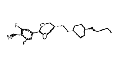 CCCC[C@H]1CC[C@H](CC[C@H]2CO[C@H](c3cc(F)c(C#N)c(F)c3)OC2)CC1